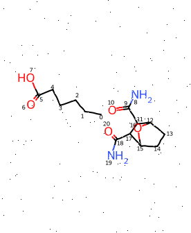 CCCCCC(=O)O.NC(=O)C1C2CCC(O2)C1C(N)=O